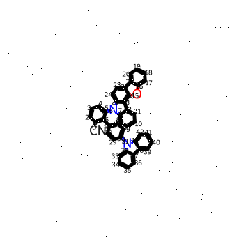 N#Cc1cccc(-n2c3ccccc3c3c4oc5ccccc5c4ccc32)c1-c1ccc(-n2c3ccccc3c3ccccc32)cc1